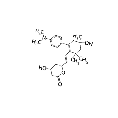 CN(C)c1ccc(C2=C(C=CC3CC(O)CC(=O)O3)C(C)(C)CC(C)(O)C2)cc1